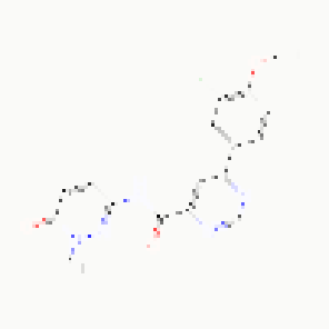 COc1ccc(-c2cc(C(=O)Nc3ccc(=O)n(C)n3)ncn2)cc1Cl